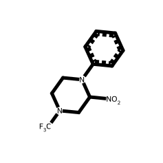 O=[N+]([O-])C1CN(C(F)(F)F)CCN1c1ccccc1